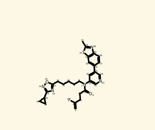 C=C(F)CCC(=O)N(CCCCCc1nc(C2CC2)no1)c1cncc(-c2ccc3nc(C)sc3c2)c1